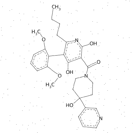 CCCCc1nc(O)c(C(=O)N2CCC(O)(c3cccnc3)CC2)c(O)c1-c1c(OC)cccc1OC